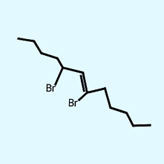 CCCCCC(Br)=CC(Br)CCCC